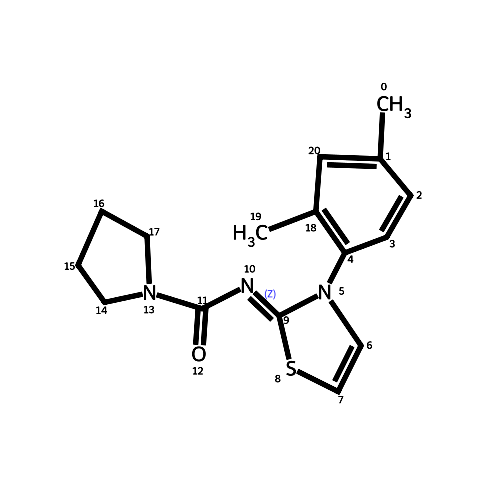 Cc1ccc(-n2ccs/c2=N\C(=O)N2CCCC2)c(C)c1